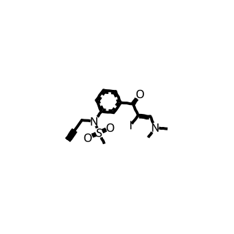 C#CCN(c1cccc(C(=O)C(I)=CN(C)C)c1)S(C)(=O)=O